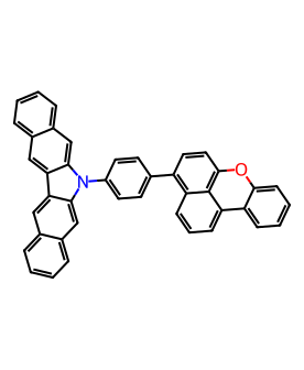 c1ccc2c(c1)Oc1ccc(-c3ccc(-n4c5cc6ccccc6cc5c5cc6ccccc6cc54)cc3)c3cccc-2c13